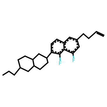 C=CCCc1cc(F)c2c(F)c(C3CCC4CC(CCC)CCC4C3)ccc2c1